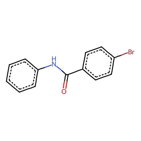 O=C(Nc1ccccc1)c1ccc(Br)cc1